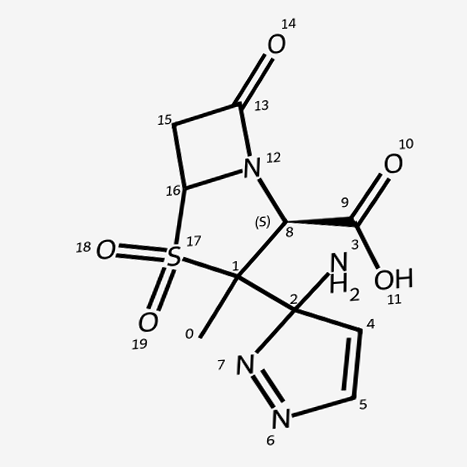 CC1(C2(N)C=CN=N2)[C@H](C(=O)O)N2C(=O)CC2S1(=O)=O